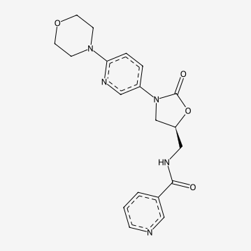 O=C(NC[C@H]1CN(c2ccc(N3CCOCC3)nc2)C(=O)O1)c1cccnc1